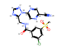 CS(=O)(=O)c1cc(Cl)cc(C(=O)NCc2ncnn2-c2cnc(C#N)cn2)c1